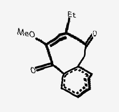 CCC1=C(OC)C(=O)c2ccccc2C1=O